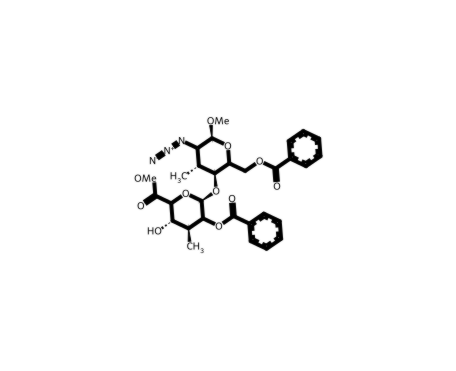 COC(=O)C1O[C@@H](O[C@@H]2C(COC(=O)c3ccccc3)O[C@H](OC)C(N=[N+]=[N-])[C@H]2C)C(OC(=O)c2ccccc2)[C@@H](C)[C@@H]1O